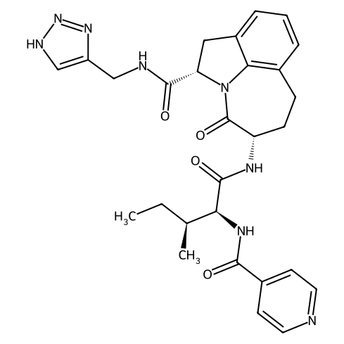 CC[C@H](C)[C@H](NC(=O)c1ccncc1)C(=O)N[C@H]1CCc2cccc3c2N(C1=O)[C@H](C(=O)NCc1c[nH]nn1)C3